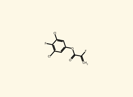 C=C(F)C(=O)Oc1cc(Cl)c(F)c(Cl)c1